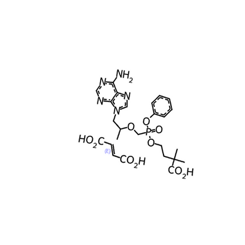 CC(Cn1cnc2c(N)ncnc21)OCP(=O)(OCCC(C)(C)C(=O)O)Oc1ccccc1.O=C(O)/C=C/C(=O)O